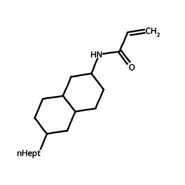 C=CC(=O)NC1CCC2CC(CCCCCCC)CCC2C1